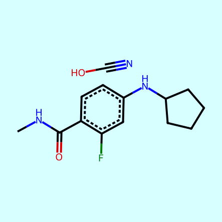 CNC(=O)c1ccc(NC2CCCC2)cc1F.N#CO